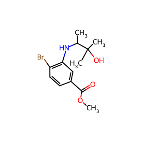 COC(=O)c1ccc(Br)c(NC(C)C(C)(C)O)c1